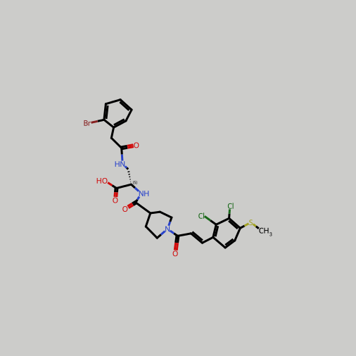 CSc1ccc(C=CC(=O)N2CCC(C(=O)N[C@@H](CNC(=O)Cc3ccccc3Br)C(=O)O)CC2)c(Cl)c1Cl